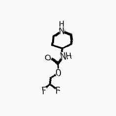 O=C(NC1CCNCC1)OCC(F)F